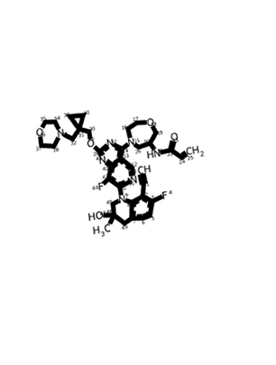 C#Cc1c(F)ccc2c1N(c1ncc3c(N4CCOCC(NC(=O)C=C)C4)nc(OCC4(CN5CCOCC5)CC4)nc3c1F)CC(C)(O)C2